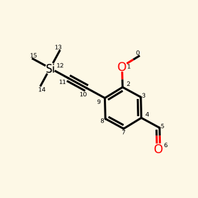 COc1cc(C=O)ccc1C#C[Si](C)(C)C